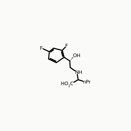 CCCC(NC[C@@H](O)c1ccc(F)cc1F)C(=O)O